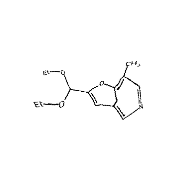 CCOC(OCC)c1cc2cncc(C)c2o1